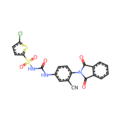 N#Cc1cc(NC(=O)NS(=O)(=O)c2ccc(Cl)s2)ccc1N1C(=O)c2ccccc2C1=O